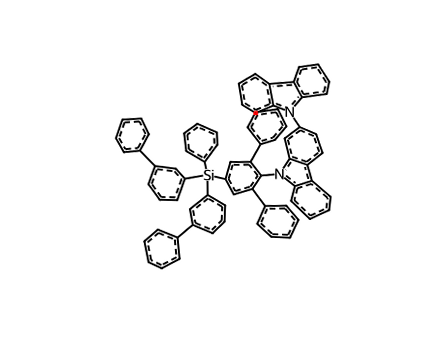 c1ccc(-c2cccc([Si](c3ccccc3)(c3cccc(-c4ccccc4)c3)c3cc(-c4ccccc4)c(-n4c5ccccc5c5ccc(-n6c7ccccc7c7ccccc76)cc54)c(-c4ccccc4)c3)c2)cc1